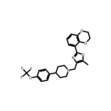 Cc1oc(-c2cccc3c2OCCO3)nc1CN1CCC(c2ccc(OC(F)(F)F)cc2)CC1